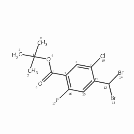 CC(C)(C)OC(=O)c1cc(Cl)c(C(Br)Br)cc1F